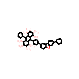 Bc1c(B)c(B)c2c(-c3ccc(-c4ccc5oc6cc(-c7ccccc7)ccc6c5c4)cc3)c3c(B)c(B)c(B)c(B)c3c(-c3ccccc3)c2c1B